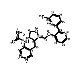 NC(=O)Nc1cnncc1CC1CCON1COc1cccnc1-c1cccc(F)n1